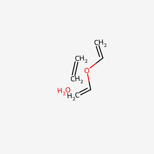 C=C.C=COC=C.O